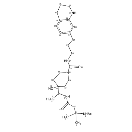 CC(=O)NC(C)(C)CC(=O)NC(C(=O)O)C1(O)CCN(C(=O)NCCCc2ccc3c(n2)NCCC3)CC1